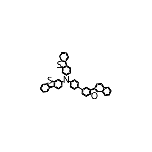 c1ccc2c(c1)ccc1c3cc(-c4ccc(N(c5ccc6c(c5)sc5ccccc56)c5ccc6c(c5)sc5ccccc56)cc4)ccc3oc21